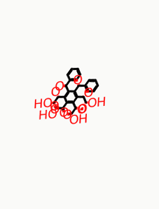 O=C(O)C(=O)c1c(C(=O)C(=O)O)c(C(=O)C(=O)O)c(C(=O)c2ccccc2)c(C(=O)c2ccccc2)c1C(=O)C(=O)O